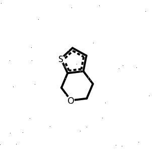 c1cc2c(s1)COCC2